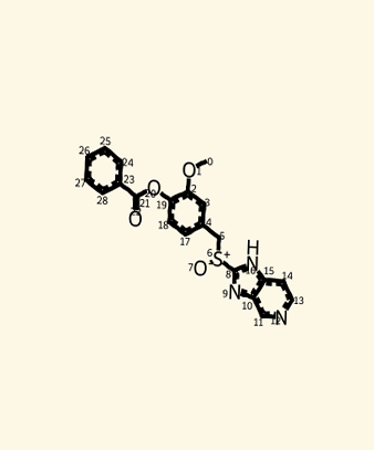 COc1cc(C[S+]([O-])c2nc3cnccc3[nH]2)ccc1OC(=O)c1ccccc1